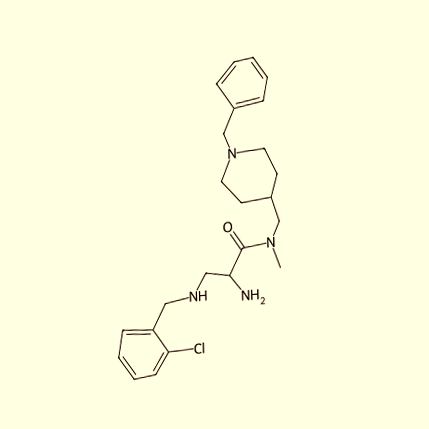 CN(CC1CCN(Cc2ccccc2)CC1)C(=O)C(N)CNCc1ccccc1Cl